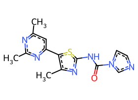 Cc1cc(-c2sc(NC(=O)n3ccnc3)nc2C)nc(C)n1